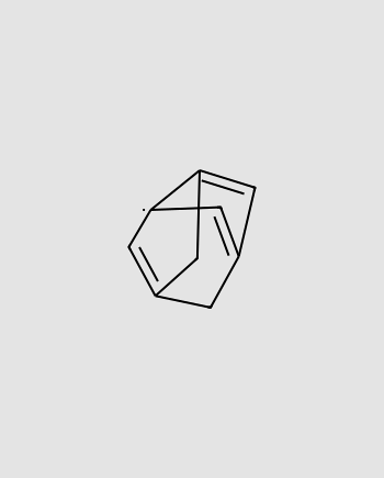 C1=C2C=C3CC(=C[C]13)C2